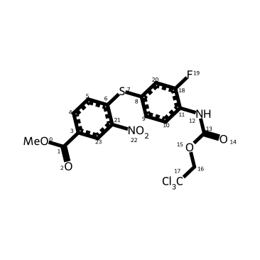 COC(=O)c1ccc(Sc2ccc(NC(=O)OCC(Cl)(Cl)Cl)c(F)c2)c([N+](=O)[O-])c1